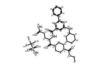 CCOC(=O)N1CCN(C(=O)C(CCC(=O)O)NC(=O)c2cc(NC3CCCCC3)nc(-c3ccccc3)n2)CC1.O=S(=O)(O)C(F)(F)F